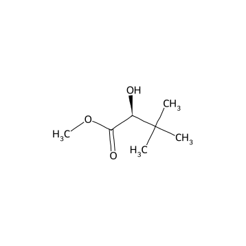 COC(=O)[C@@H](O)C(C)(C)C